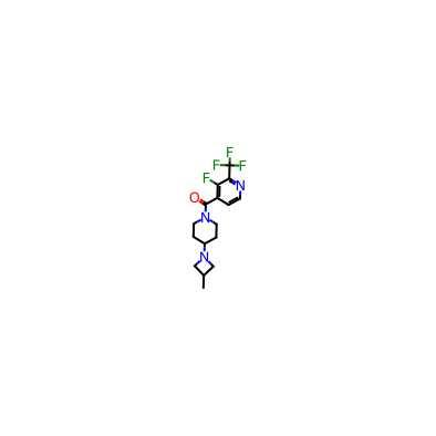 CC1CN(C2CCN(C(=O)c3ccnc(C(F)(F)F)c3F)CC2)C1